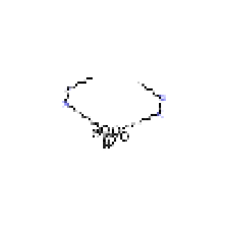 CCCCC/C=C\C/C=C\CCCCCCCC(=O)O[C@@H]1CCN(C)C[C@H]1OC(=O)CCCCCCC/C=C\C/C=C\CCCCC